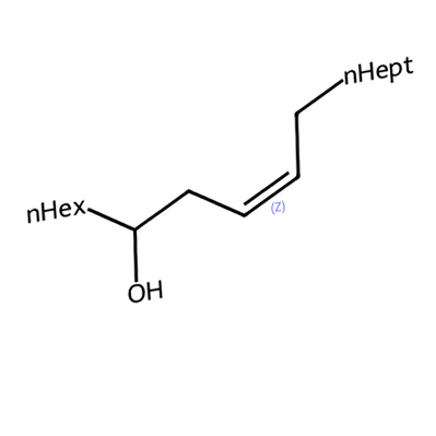 [CH2]CCCCCCC/C=C\CC(O)CCCCCC